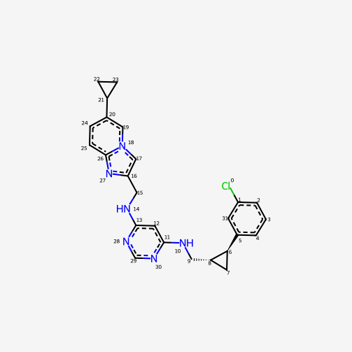 Clc1cccc([C@H]2C[C@@H]2CNc2cc(NCc3cn4cc(C5CC5)ccc4n3)ncn2)c1